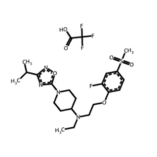 CCN(CCOc1ccc(S(C)(=O)=O)cc1F)C1CCN(c2nc(C(C)C)no2)CC1.O=C(O)C(F)(F)F